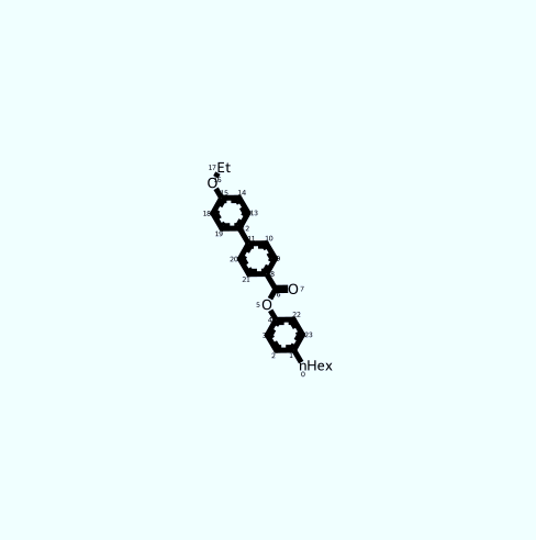 CCCCCCc1ccc(OC(=O)c2ccc(-c3ccc(OCC)cc3)cc2)cc1